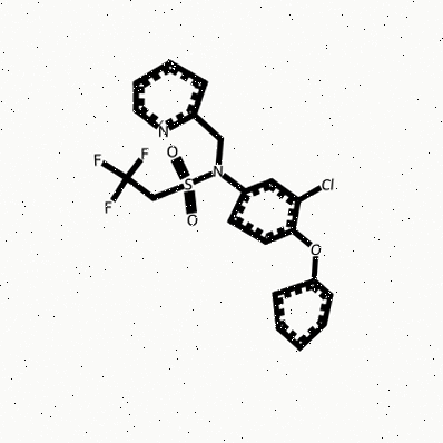 O=S(=O)(CC(F)(F)F)N(Cc1ccccn1)c1ccc(Oc2ccccc2)c(Cl)c1